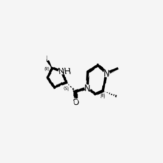 C[C@@H]1CN(C(=O)[C@@H]2CC[C@@H](I)N2)CCN1C